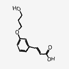 O=C(O)C=Cc1cccc(OCCCO)c1